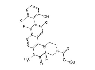 CN1C(=O)[C@H]2CN(C(=O)OC(C)(C)C)CCN2c2c1cnc1c(F)c(-c3c(O)cccc3Cl)c(Cl)cc21